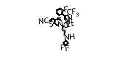 CCn1cc(-c2c(F)cccc2[C@@H]2CN(C(=O)/C=C/CNC3CC(F)(F)C3)Cc3sc(C#N)cc32)c(C(F)(F)F)n1